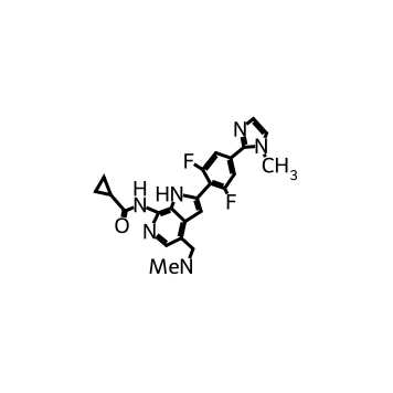 CNCc1cnc(NC(=O)C2CC2)c2[nH]c(-c3c(F)cc(-c4nccn4C)cc3F)cc12